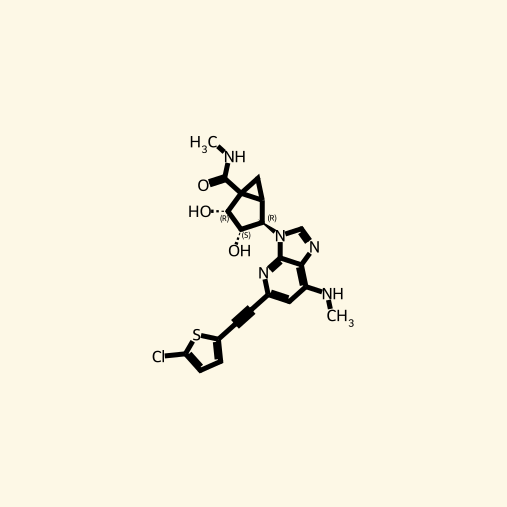 CNC(=O)C12CC1[C@@H](n1cnc3c(NC)cc(C#Cc4ccc(Cl)s4)nc31)[C@H](O)[C@@H]2O